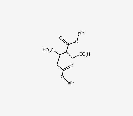 CCCOC(=O)CC(C(=O)O)C(CC(=O)O)C(=O)OCCC